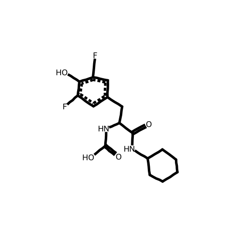 O=C(O)NC(Cc1cc(F)c(O)c(F)c1)C(=O)NC1CCCCC1